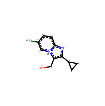 OCc1c(C2CC2)nc2ccc(F)cn12